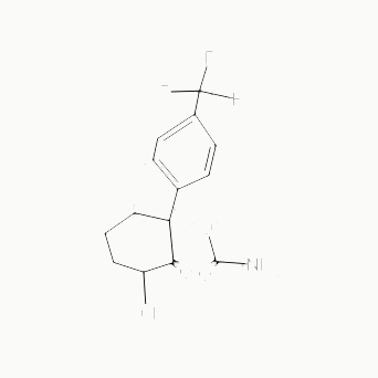 CC1CCC[C@@](OC(N)=O)(c2ccc(C(F)(F)F)cc2)C1=O